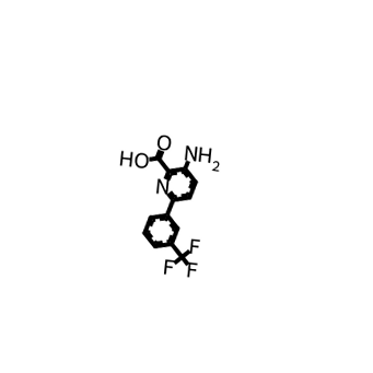 Nc1ccc(-c2cccc(C(F)(F)F)c2)nc1C(=O)O